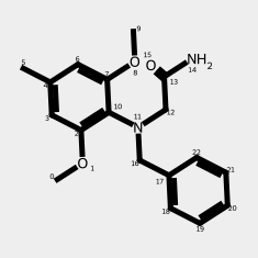 COc1cc(C)cc(OC)c1N(CC(N)=O)Cc1ccccc1